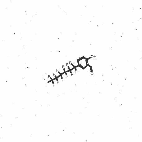 O=Cc1cc(C(F)(F)C(F)(F)C(F)(F)C(F)(F)C(F)(F)C(F)(F)F)ccc1O